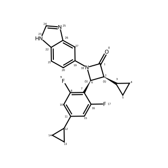 O=C1[C@@H](C2CC2)[C@@H](c2c(F)cc(C3CC3)cc2F)N1c1ccc2[nH]cnc2c1